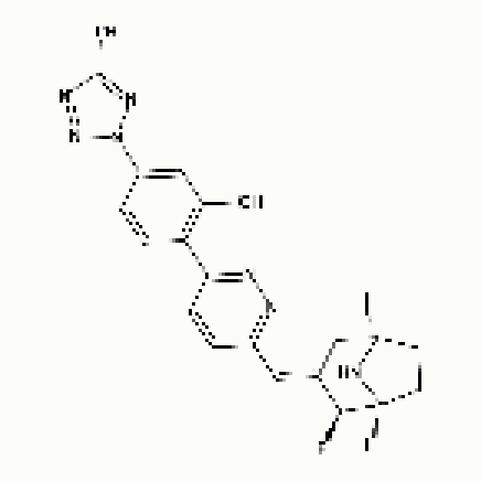 Cc1nnn(-c2ccc(-c3ccc(/C=C4\C[C@H]5CC[C@H](N5)[C@H]4F)nn3)c(O)c2)n1